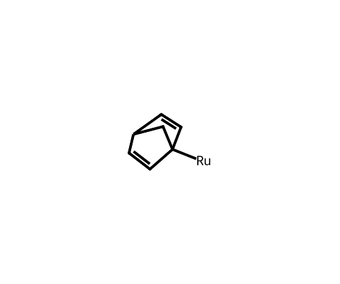 [Ru][C]12C=CC(C=C1)C2